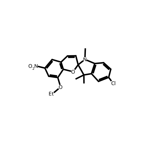 CCOc1cc([N+](=O)[O-])cc2c1OC1(C=C2)N(C)c2ccc(Cl)cc2C1(C)C